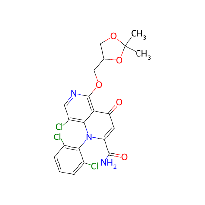 CC1(C)OCC(COc2ncc(Cl)c3c2c(=O)cc(C(N)=O)n3-c2c(Cl)cccc2Cl)O1